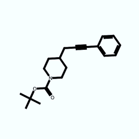 CC(C)(C)OC(=O)N1CCC(CC#Cc2ccccc2)CC1